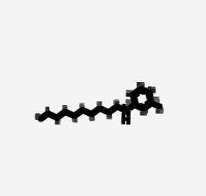 CCCCCCCCCCNc1cccc(C)c1